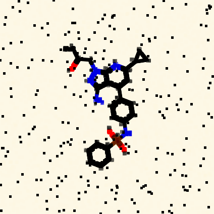 COC(=O)Cn1nc(N)c2c(-c3ccc(NS(=O)(=O)c4ccccc4)cc3)cc(C3CC3)nc21